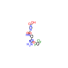 Nc1ncc(-c2cccc(NS(=O)(=O)CCN3CCN(C(=O)CO)CC3)c2)nc1OCc1c(F)ccc(F)c1Cl